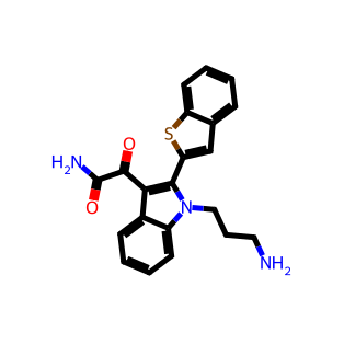 NCCCn1c(-c2cc3ccccc3s2)c(C(=O)C(N)=O)c2ccccc21